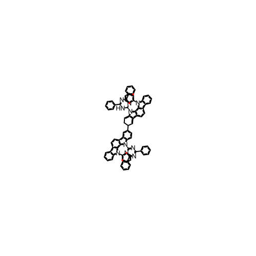 C1=c2c(n(C3N=C(c4ccccc4)N=C(c4ccccc4)N3)c3c2ccc2c4ccccc4n(-c4ccccc4)c23)=CCC1c1ccc2c(c1)c1ccc3c4ccccc4n(-c4ccccc4)c3c1n2-c1nc(-c2ccccc2)nc(-c2ccccc2)n1